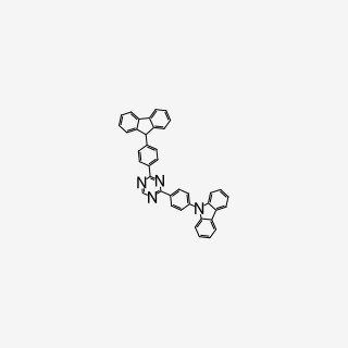 c1ccc2c(c1)-c1ccccc1C2c1ccc(-c2ncnc(-c3ccc(-n4c5ccccc5c5ccccc54)cc3)n2)cc1